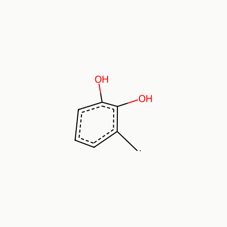 [CH2]c1cccc(O)c1O